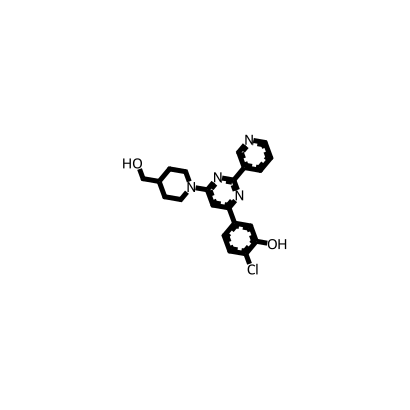 OCC1CCN(c2cc(-c3ccc(Cl)c(O)c3)nc(-c3cccnc3)n2)CC1